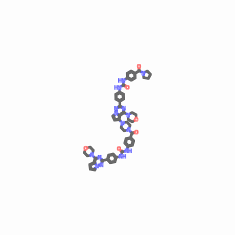 O=C(Nc1ccc(C(=O)N2CCN(c3ccn4nc(-c5ccc(NC(=O)Nc6ccc(C(=O)N7CCCC7)cc6)cc5)nc(N5CCOCC5)c34)CC2)cc1)Nc1ccc(-c2nc(N3CCOCC3)c3cccn3n2)cc1